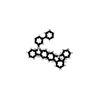 c1ccc(-c2cccc(-n3c4ccccc4c4cc5cc6c7cccc8c9ccccc9n(c6cc5cc43)c87)c2)cc1